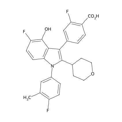 Cc1cc(-n2c(C3CCOCC3)c(-c3ccc(C(=O)O)c(F)c3)c3c(O)c(F)ccc32)ccc1F